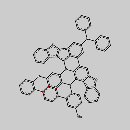 CC(C)(C)c1ccc(N2c3cc4c(cc3B3c5c(cc6oc7ccccc7c6c52)-c2cc(N(c5ccccc5)c5ccccc5)cc5c6sc7ccccc7c6n3c25)Oc2ccccc2S4)c(-c2ccccc2)c1